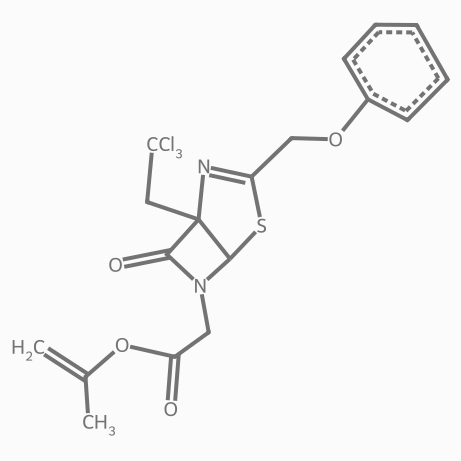 C=C(C)OC(=O)CN1C(=O)C2(CC(Cl)(Cl)Cl)N=C(COc3ccccc3)SC12